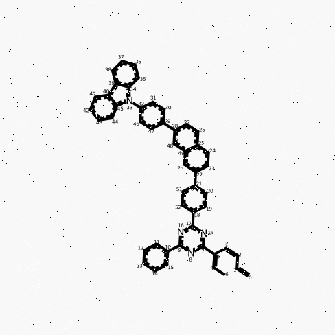 C=C/C=C\C(=C/C)c1nc(-c2ccccc2)nc(-c2ccc(-c3ccc4ccc(-c5ccc(-n6c7ccccc7c7ccccc76)cc5)cc4c3)cc2)n1